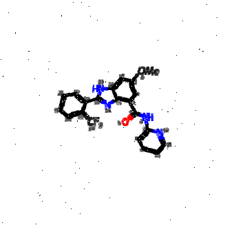 COc1cc(C(=O)Nc2ccccn2)c2nc(-c3ccccc3C(F)(F)F)[nH]c2c1